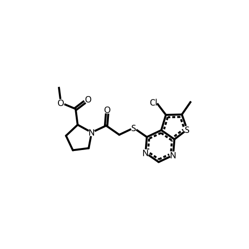 COC(=O)C1CCCN1C(=O)CSc1ncnc2sc(C)c(Cl)c12